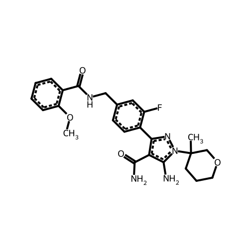 COc1ccccc1C(=O)NCc1ccc(-c2nn(C3(C)CCCOC3)c(N)c2C(N)=O)c(F)c1